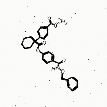 COC(=O)c1ccc(C2(C(=O)Oc3ccc(C(=O)NOCc4ccccc4)cc3)CCCCC2)cc1